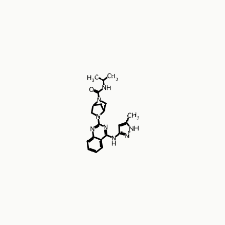 Cc1cc(Nc2nc(N3CC4CC3CN4C(=O)NC(C)C)nc3ccccc23)n[nH]1